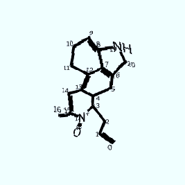 C=CCC1C2CC3=C4C(=CCCC4=C2C=C(C)[N+]1=O)NC3